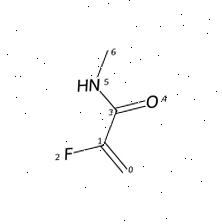 C=C(F)C(=O)NC